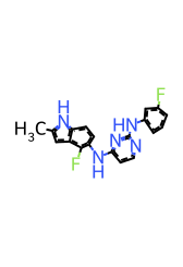 Cc1cc2c(F)c(Nc3ccnc(Nc4cccc(F)c4)n3)ccc2[nH]1